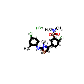 Br.Cc1cc(Cl)ccc1/N=c1/scc(-c2ccc(Cl)c(S(=O)(=O)N(C)C)c2)n1C